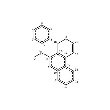 CN(c1ccccc1)c1cc2ccccc2c2c1CCC=C2